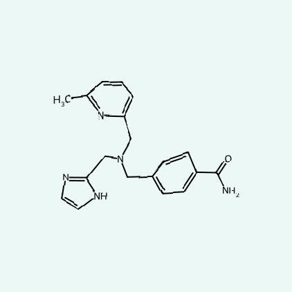 Cc1cccc(CN(Cc2ccc(C(N)=O)cc2)Cc2ncc[nH]2)n1